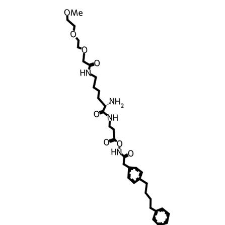 COCCOCCOCC(=O)NCCCC[C@H](N)C(=O)NCCC(=O)ONC(=O)Cc1ccc(CCCCc2ccccc2)cc1